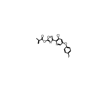 C=C(C)C(=O)Oc1nc(-c2ncc(Oc3ccc(F)cc3)cc2Cl)no1